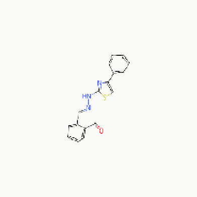 O=Cc1ccccc1C=NNc1nc(-c2ccccc2)cs1